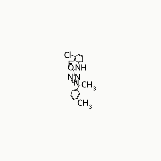 Cc1cccc([C@@H](C)n2cnc(C(=O)Nc3cccc(Cl)c3F)n2)c1